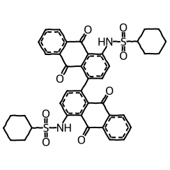 O=C1c2ccccc2C(=O)c2c(-c3ccc(NS(=O)(=O)C4CCCCC4)c4c3C(=O)c3ccccc3C4=O)ccc(NS(=O)(=O)C3CCCCC3)c21